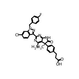 C[C@]1(c2ccc(CCC(=O)O)cc2)C(=O)Nc2nc(-c3nn(Cc4ccc(F)cc4)c4cc(Cl)ccc34)nc(N)c21